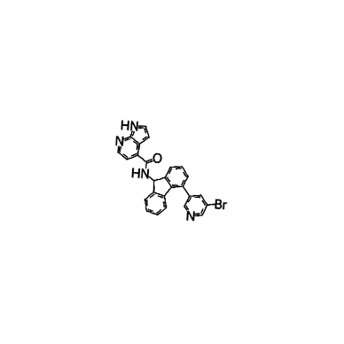 O=C(NC1c2ccccc2-c2c(-c3cncc(Br)c3)cccc21)c1ccnc2[nH]ccc12